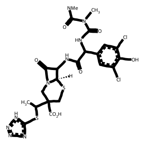 CNC(=O)N(C)C(=O)NC(C(=O)NC1C(=O)N2CC(C(=O)O)(C(C)Sc3nnn[nH]3)CS[C@H]12)c1cc(Cl)c(O)c(Cl)c1